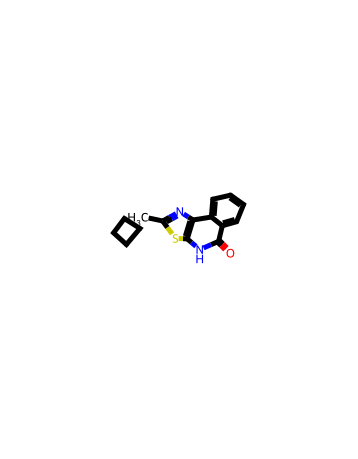 C1CCC1.Cc1nc2c([nH]c(=O)c3ccccc32)s1